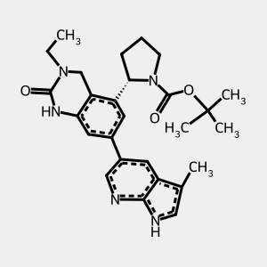 CCN1Cc2c(cc(-c3cnc4[nH]cc(C)c4c3)cc2[C@@H]2CCCN2C(=O)OC(C)(C)C)NC1=O